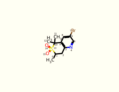 CC1Cc2ncc(Br)cc2C(C)(C)S1(=O)=O